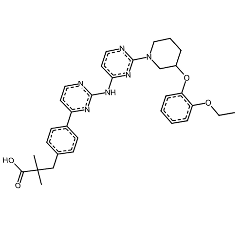 CCOc1ccccc1OC1CCCN(c2nccc(Nc3nccc(-c4ccc(CC(C)(C)C(=O)O)cc4)n3)n2)C1